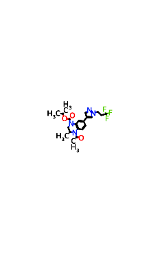 CC(=O)N1c2ccc(-c3cnn(CCC(F)(F)F)c3)cc2N(C(=O)OC(C)C)CC1C